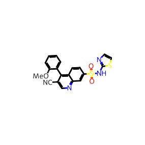 COc1ccccc1-c1c(C#N)cnc2cc(S(=O)(=O)Nc3nccs3)ccc12